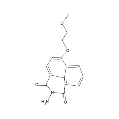 COCCOc1ccc2c3c(cccc13)C(=O)N(N)C2=O